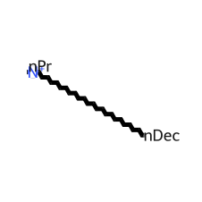 CCCCCCCCCCCCCCCCCCCCCCCCCCCCCCCCCC[N+](C)(C)CCC